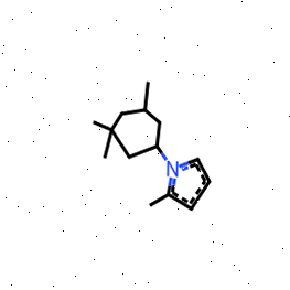 Cc1cccn1C1CC(C)CC(C)(C)C1